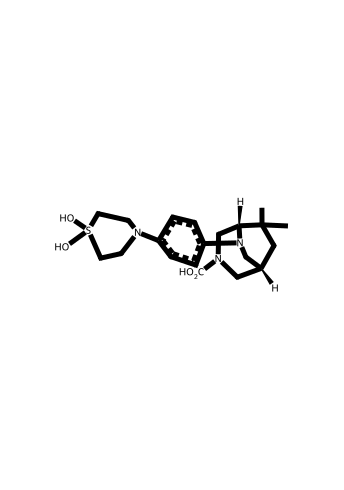 CC1(C)C[C@@H]2CN(C(=O)O)C[C@H]1N(c1ccc(N3CCS(O)(O)CC3)cc1)C2